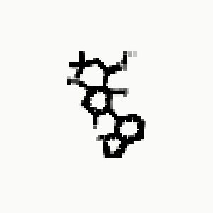 CC1(C)C/C(=N\O)c2c(cc(F)c(-c3cccc4cc[nH]c34)c2F)N1